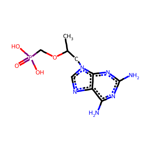 CC(Cn1cnc2c(N)nc(N)nc21)OCP(=O)(O)O